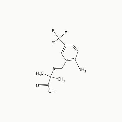 CC(C)(SCc1cc(C(F)(F)F)ccc1N)C(=O)O